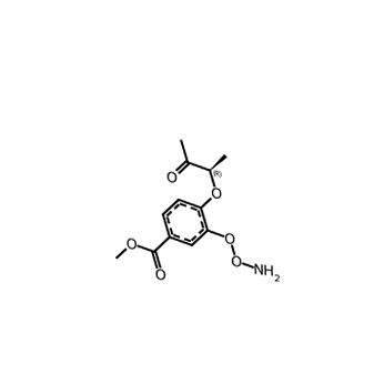 COC(=O)c1ccc(O[C@H](C)C(C)=O)c(OON)c1